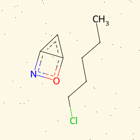 CCCCCCl.c1c2noc1-2